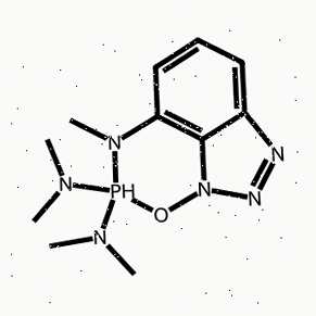 CN(C)[PH]1(N(C)C)On2nnc3cccc(c32)N1C